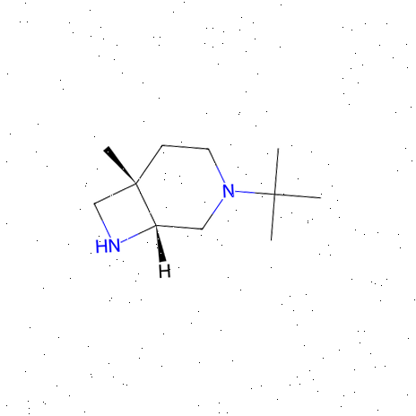 CC(C)(C)N1CC[C@@]2(C)CN[C@H]2C1